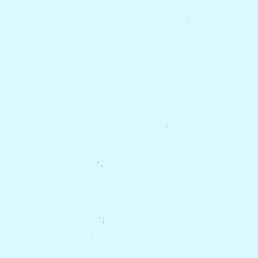 CCCCCCCCCCC(C)c1ccc(S(=O)(=O)NCCCCC(N)C(=O)O)cc1